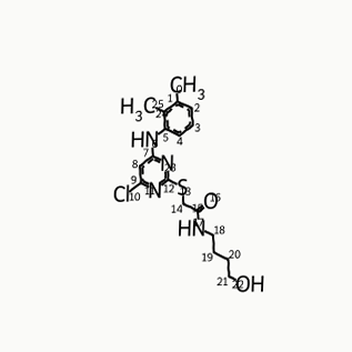 Cc1cccc(Nc2cc(Cl)nc(SCC(=O)NCCCCO)n2)c1C